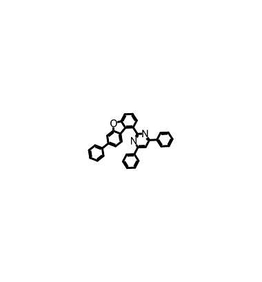 c1ccc(-c2ccc3c(c2)oc2cccc(-c4nc(-c5ccccc5)cc(-c5ccccc5)n4)c23)cc1